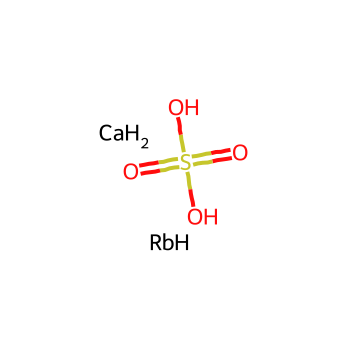 O=S(=O)(O)O.[CaH2].[RbH]